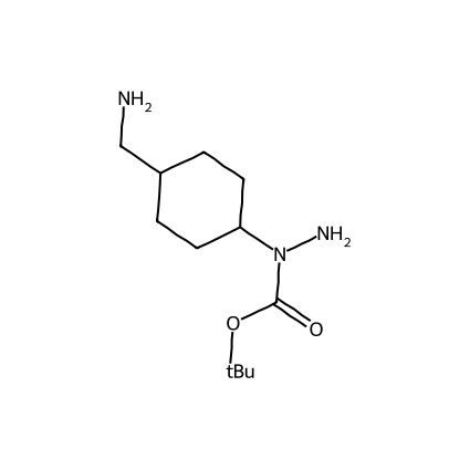 CC(C)(C)OC(=O)N(N)C1CCC(CN)CC1